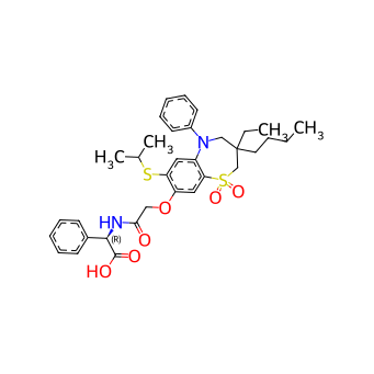 CCCCC1(CC)CN(c2ccccc2)c2cc(SC(C)C)c(OCC(=O)N[C@@H](C(=O)O)c3ccccc3)cc2S(=O)(=O)C1